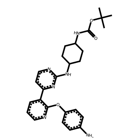 CC(C)(C)OC(=O)NC1CCC(Nc2nccc(-c3cccnc3Oc3ccc(N)cc3)n2)CC1